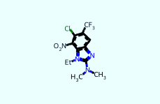 CCn1c(N(C)C)nc2cc(C(F)(F)F)c(Cl)c([N+](=O)[O-])c21